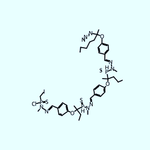 CCCCCC(C)(N=[N+]=[N-])Oc1ccc(/C=N/N(C)[PH](=S)C(C)(CCC)Oc2ccc(/C=N/N(C)[PH](=S)C(C)(CC)Oc3ccc(/C=N/N(C)P(=S)(Cl)CI)cc3)cc2)cc1